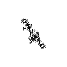 CC(C)CN1C(=O)[C@H](CCCCNC(=O)OCc2ccccc2)NC(=O)C12CCN(CCc1ccccc1)CC2.Cl